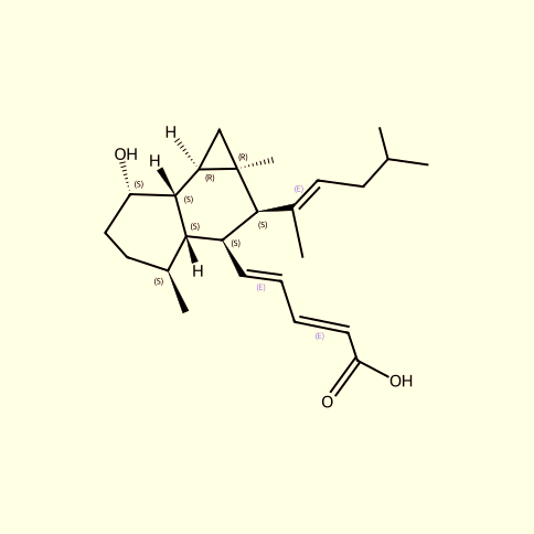 C/C(=C\CC(C)C)[C@H]1[C@@H](/C=C/C=C/C(=O)O)[C@H]2[C@@H]([C@H]3C[C@]31C)[C@@H](O)CC[C@@H]2C